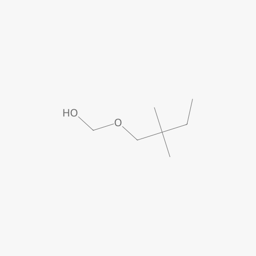 CCC(C)(C)COCO